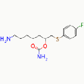 NCCCCCC(CSc1ccc(F)cc1)OC(N)=O